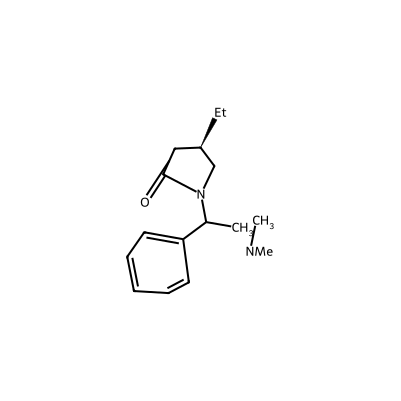 CC[C@@H]1CC(=O)N(C(C)c2ccccc2)C1.CNC